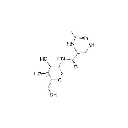 CC(=O)NC(CS)C(=O)NC1COC(CO)[C@@H](O)C1O